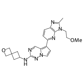 COCCn1c(C)nc2ccc(-c3ccn4nc(NC5CC6(COC6)C5)ncc34)nc21